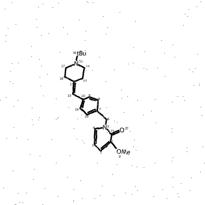 COc1cccn(Cc2ccc(C=C3CCN(C(C)(C)C)CC3)cc2)c1=O